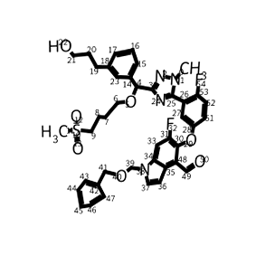 Cn1nc(C(OCCCCS(C)(=O)=O)c2cccc(CCCO)c2)nc1-c1cc(Oc2c(F)cc3c(ccn3COCc3ccccc3)c2C=O)ccc1F